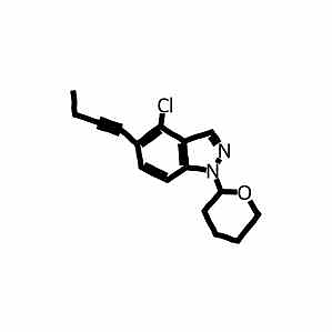 CCC#Cc1ccc2c(cnn2C2CCCCO2)c1Cl